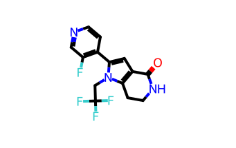 O=C1NCCc2c1cc(-c1ccncc1F)n2CC(F)(F)F